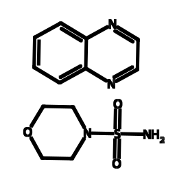 NS(=O)(=O)N1CCOCC1.c1ccc2nccnc2c1